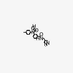 Cc1ccc(N(c2cccc(C(=O)NCc3cnn(C)c3)c2)[SH](=O)=O)cc1